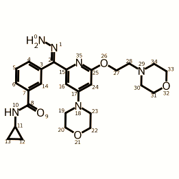 N/N=C(\c1cccc(C(=O)NC2CC2)c1)c1cc(N2CCOCC2)cc(OCCN2CCOCC2)n1